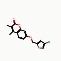 Cc1c(C)c2ccc(OCc3cc(Br)cs3)cc2oc1=O